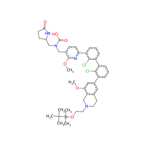 COc1cc(-c2cccc(-c3cccc(-c4ccc(CN(CC5CCC(=O)N5)C(=O)O)c(OC)n4)c3Cl)c2Cl)cc2c1CN(CCO[Si](C)(C)C(C)(C)C)CC2